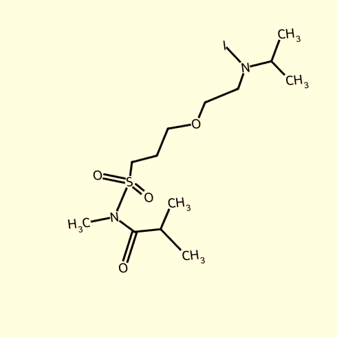 CC(C)C(=O)N(C)S(=O)(=O)CCCOCCN(I)C(C)C